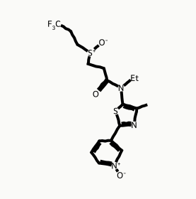 CCN(C(=O)CC[S+]([O-])CCC(F)(F)F)c1sc(-c2ccc[n+]([O-])c2)nc1C